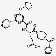 O=C(O)CC[C@H](NC(=O)c1cc(OC2CCCC2)nc(-c2ccccc2)n1)C(=O)N1CCN(C(=O)c2cccs2)CC1